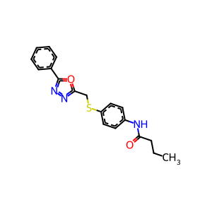 CCCC(=O)Nc1ccc(SCc2nnc(-c3ccccc3)o2)cc1